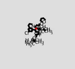 CC(C)(C)OC(=O)N1C[C@@H](N2CCCc3cc(Cl)cc(-c4ccnc5c(F)c(CO[Si](C)(C)C(C)(C)C)sc45)c32)C[C@]1(C)COC1CCCCO1